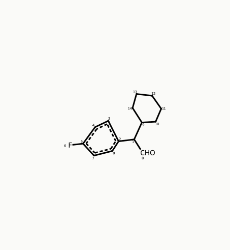 O=CC(c1ccc(F)cc1)C1CCCCC1